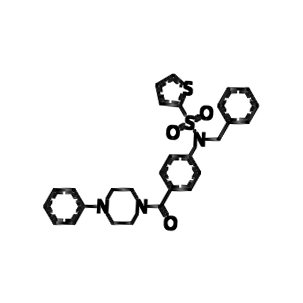 O=C(c1ccc(N(Cc2ccccc2)S(=O)(=O)c2cccs2)cc1)N1CCN(c2ccccc2)CC1